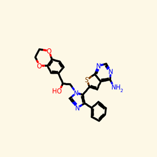 Nc1ncnc2sc(-c3c(-c4ccccc4)ncn3CC(O)c3ccc4c(c3)OCCO4)cc12